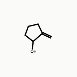 C=C1CCCC1O